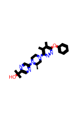 Cc1c(Oc2ccccc2)nnc(N2CCN(c3cnc(C(C)(C)O)cn3)[C@H](C)C2)c1C